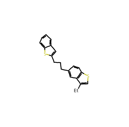 CCc1csc2ccc(CCCc3cc4ccccc4s3)cc12